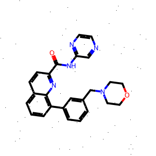 O=C(Nc1cnccn1)c1ccc2cccc(-c3cccc(CN4CCOCC4)c3)c2n1